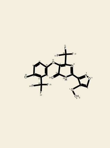 COc1conc1-c1nc(C(F)(F)F)c(Oc2ccc(Cl)c(C(F)(F)F)c2)c(=O)[nH]1